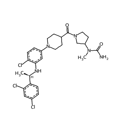 C[C@@H](Nc1cc(N2CCC(C(=O)N3CCC(N(C)C(N)=O)C3)CC2)ccc1Cl)c1ccc(Cl)cc1Cl